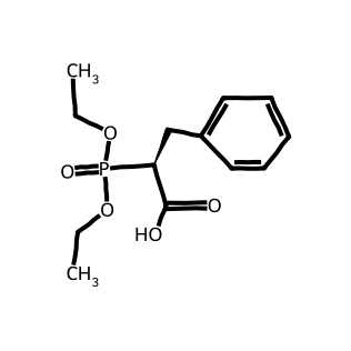 CCOP(=O)(OCC)[C@@H](Cc1ccccc1)C(=O)O